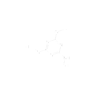 ClC(Cl)(Cl)Nc1nc(NC(Cl)(Cl)Cl)nc(NC(Cl)(Cl)Cl)n1